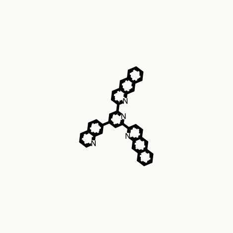 c1ccc2cc3nc(-c4cc(-c5ccc6cccnc6c5)cc(-c5ccc6cc7ccccc7cc6n5)n4)ccc3cc2c1